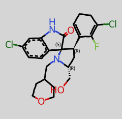 O=C1Nc2cc(Cl)ccc2[C@@]12[C@@H](C1=CCCC(Cl)=C1F)C[C@H](CO)N2CC1CCOCC1